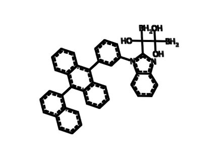 BC(O)(O)C(B)(O)c1nc2ccccc2n1-c1cccc(-c2c3ccccc3c(-c3cccc4ccccc34)c3ccccc23)c1